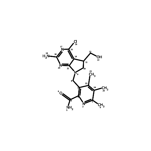 Cc1nc(C(N)=O)c(CN2CC(CO)c3c(Cl)nc(N)nc32)c(C)c1C